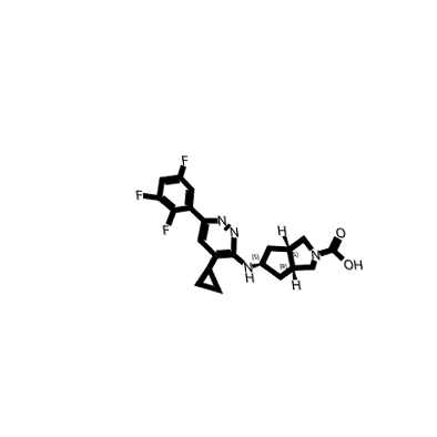 O=C(O)N1C[C@H]2C[C@H](Nc3nnc(-c4cc(F)cc(F)c4F)cc3C3CC3)C[C@H]2C1